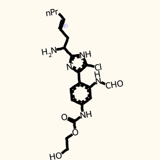 CCC/C=C/CC(N)c1nc(-c2ccc(NC(=O)OCCO)cc2NC=O)c(Cl)[nH]1